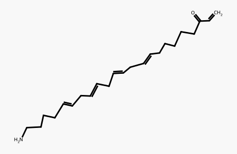 C=CC(=O)CCCCCC=CCC=CCC=CCC=CCCCCN